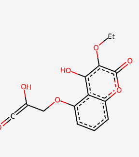 CCOc1c(O)c2c(OCC(O)=C=O)cccc2oc1=O